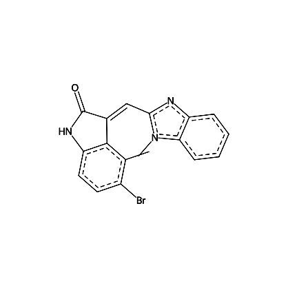 Cc1c(Br)ccc2c1C(=Cc1nc3ccccc3n1C)C(=O)N2